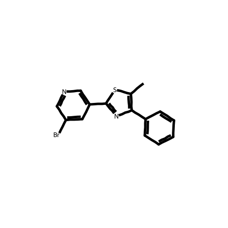 Cc1sc(-c2cncc(Br)c2)nc1-c1ccccc1